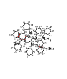 CC(C)(C)c1ccc(-c2ccccc2N2c3cc(N(c4ccccc4)c4ccccc4)cc4c3B3c5c2cccc5C(C)(c2ccccc2)c2cccc(c23)N4c2ccccc2-c2ccc(C(C)(C)C)cc2)cc1